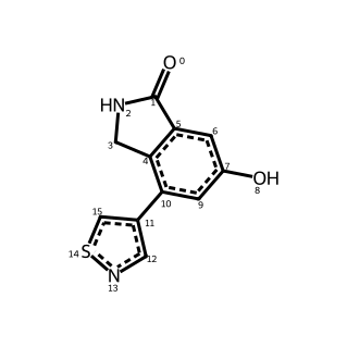 O=C1NCc2c1cc(O)cc2-c1cnsc1